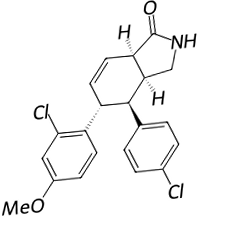 COc1ccc([C@@H]2C=C[C@H]3C(=O)NC[C@H]3[C@H]2c2ccc(Cl)cc2)c(Cl)c1